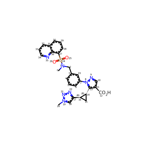 CN(Cc1cccc(-n2ncc(C(=O)O)c2[C@@H]2C[C@H]2c2cn(C)nn2)c1)S(=O)(=O)c1cccc2cccnc12